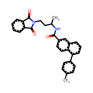 CC(CCN1C(=O)c2ccccc2C1=O)NC(=O)c1ccc2c(-c3ccc(C(F)(F)F)cc3)cccc2c1